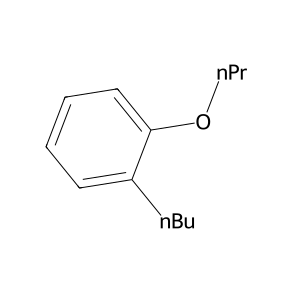 CCCCc1ccccc1OCCC